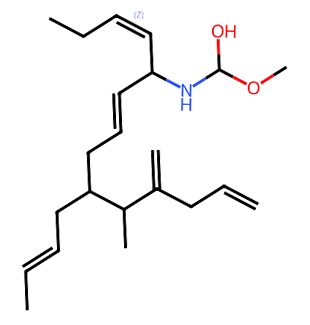 C=CCC(=C)C(C)C(CC=CC)CC=CC(/C=C\CC)NC(O)OC